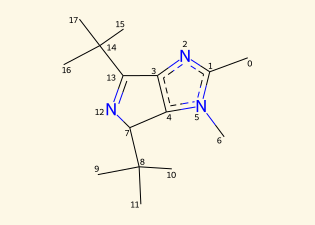 Cc1nc2c(n1C)C(C(C)(C)C)N=C2C(C)(C)C